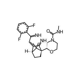 CNC(=O)N1CCO[C@H]([C@@]23CC[C@@H](/C(=C/C(=N)c4c(F)cccc4F)C2=N)C3(C)C)C1